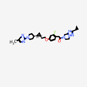 Cc1cnc(N2CCC([C@H]3C[C@H]3CCOc3ccc(CC(=O)N4CCn5nc(C6CC6)nc5C4)c(F)c3)CC2)nc1